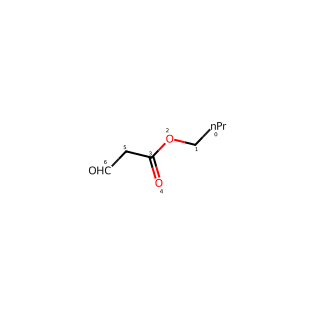 CCCCOC(=O)CC=O